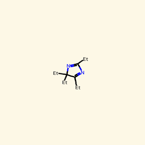 CCC1=NC(CC)(CC)C(CC)=N1